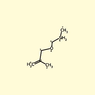 C=C(C)COC[SiH2]C